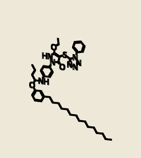 CCCCCCCCCCCCCCCc1cccc(OC(CCC)Nc2ccc(-n3[nH]c(OCC)c(Sc4nnnn4-c4ccccc4)c3=O)cc2)c1